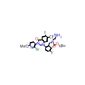 COc1ccc(N2CN(c3ccc(F)c(F)c3CN(CCN)C(=O)OC(C)(C)C)c3cc(C(F)(F)F)c(F)cc3C2=O)c(Br)n1